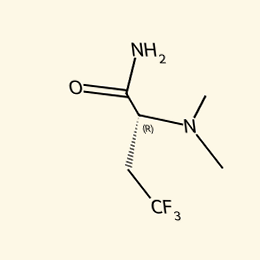 CN(C)[C@H](CC(F)(F)F)C(N)=O